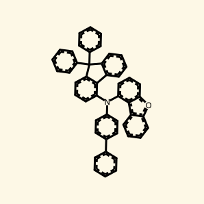 c1ccc(-c2ccc(N(c3cccc4c3-c3ccccc3C4(c3ccccc3)c3ccccc3)c3cccc4oc5ccccc5c34)cc2)cc1